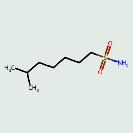 CC(C)CCC[CH]CS(N)(=O)=O